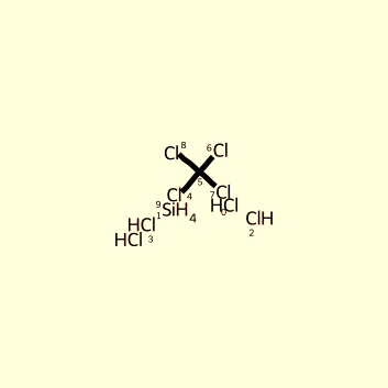 Cl.Cl.Cl.Cl.ClC(Cl)(Cl)Cl.[SiH4]